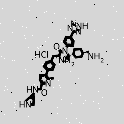 Cc1nc(C(=O)NC2C3CNCC32)ccc1-c1ccc(C[C@H](N)C(=O)N(c2ccc(-c3nn[nH]n3)cc2)C(=O)[C@H]2CC[C@H](CN)CC2)cc1.Cl